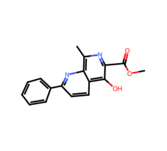 COC(=O)c1nc(C)c2nc(-c3ccccc3)ccc2c1O